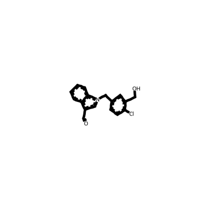 O=Cc1cn(Cc2ccc(Cl)c(CO)c2)c2ccccc12